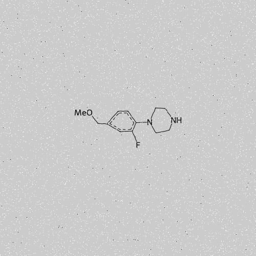 COCc1ccc(N2CCNCC2)c(F)c1